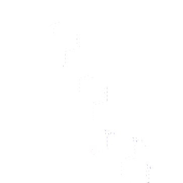 Cc1ccc(C(=O)NCc2cccc(Oc3ccccc3)c2)c(N)n1